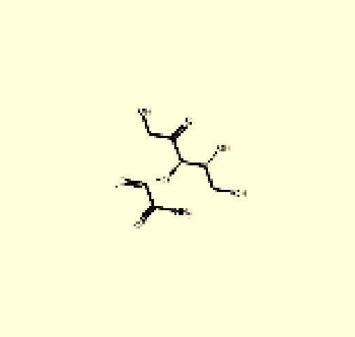 C=CC(N)=O.O=C(CO)[C@H](O)[C@H](O)CO